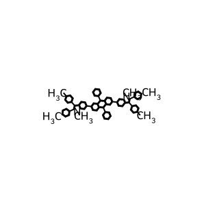 Cc1ccc(-c2c(-c3ccc(C)cc3)n(C)c3cc(-c4ccc5c(-c6ccccc6)c6cc(-c7ccc8c(-c9ccc(C)cc9)c(-c9ccc(C)cc9)n(C)c8c7)ccc6c(-c6ccccc6)c5c4)ccc23)cc1